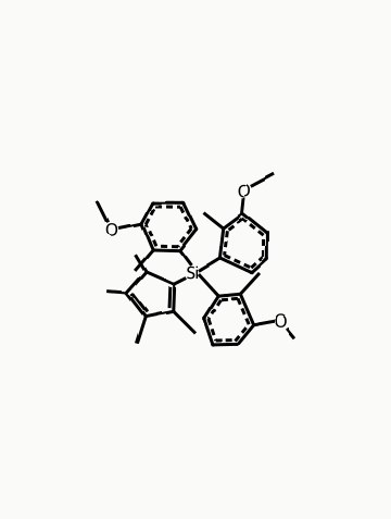 COc1cccc([Si](C2=C(C)C(C)=C(C)C2C)(c2cccc(OC)c2C)c2cccc(OC)c2C)c1C